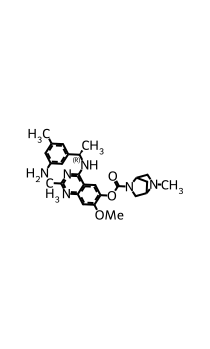 COc1cc2nc(C)nc(N[C@H](C)c3cc(C)cc(N)c3)c2cc1OC(=O)N1CC2CC1CN2C